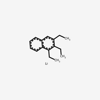 CCc1cc2ccccc2c(CC)c1CC.[Li]